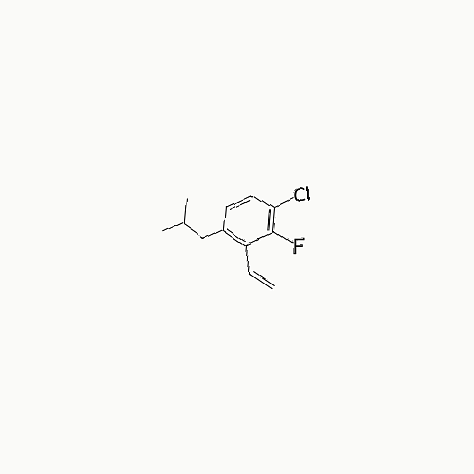 C=Cc1c(CC(C)C)ccc(Cl)c1F